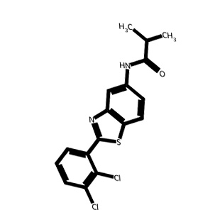 CC(C)C(=O)Nc1ccc2sc(-c3cccc(Cl)c3Cl)nc2c1